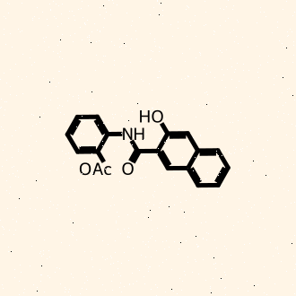 CC(=O)Oc1ccccc1NC(=O)c1cc2ccccc2cc1O